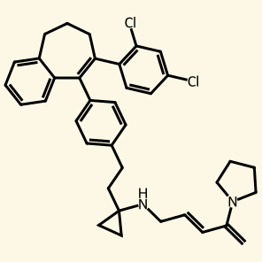 C=C(/C=C/CNC1(CCc2ccc(C3=C(c4ccc(Cl)cc4Cl)CCCc4ccccc43)cc2)CC1)N1CCCC1